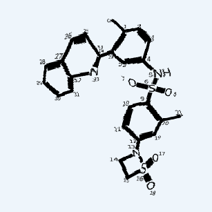 Cc1ccc(NS(=O)(=O)c2ccc(N3CCS3(=O)=O)cc2C)cc1-c1ccc2ccccc2n1